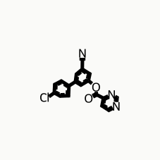 N#Cc1cc(OC(=O)c2ccncn2)cc(-c2ccc(Cl)cc2)c1